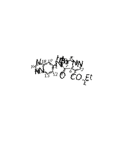 CCOC(=O)c1cnn(C)c1C(=O)N(Br)c1ccn2ncnc2c1